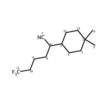 CC1(C)CCC(C(C#N)CCCC(F)(F)F)CC1